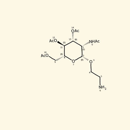 CC(=O)N[C@@H]1[C@H](OCCN)O[C@H](COC(C)=O)[C@@H](OC(C)=O)[C@@H]1OC(C)=O